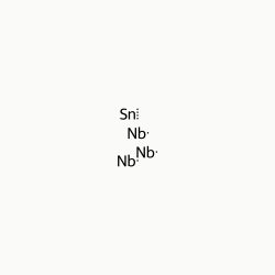 [Nb].[Nb].[Nb].[Sn]